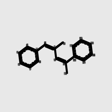 CC(=Cc1ccccc1)C=C(C)c1ccccc1